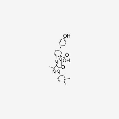 CC1=NN(c2ccc(C)c(C)c2)C(=O)/C1=N\NC1(C(=O)O)C=CC=C(c2ccc(O)cc2)C1